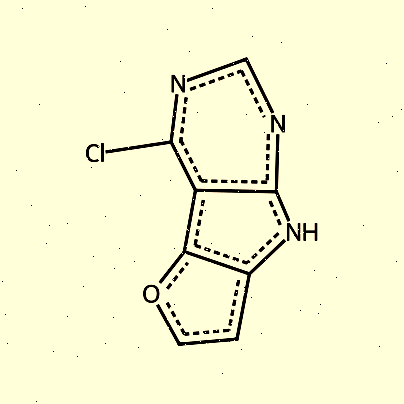 Clc1ncnc2[nH]c3ccoc3c12